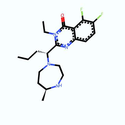 CCC[C@H](c1nc2ccc(F)c(F)c2c(=O)n1CC)N1CCN[C@@H](C)CC1